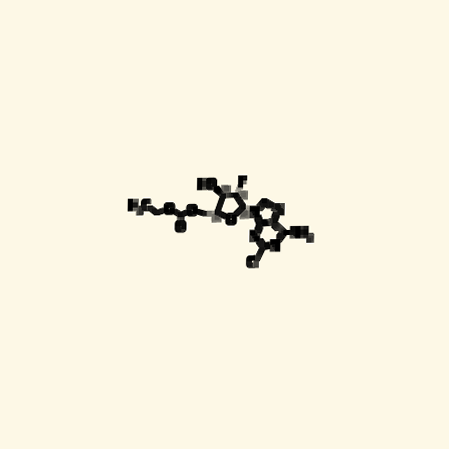 CCOC(=O)OC[C@H]1O[C@@H](n2cnc3c(N)nc(Cl)nc32)[C@@H](F)[C@@H]1O